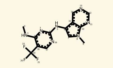 CNc1nc(Nc2cn(C)c3ncncc23)ncc1C(F)(F)F